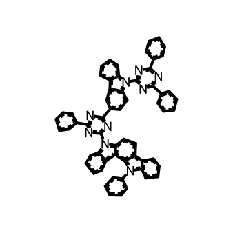 c1ccc(-c2nc(-c3ccccc3)nc(-n3c4ccccc4c4cc(-c5nc(-c6ccccc6)nc(-n6c7ccccc7c7c6ccc6c8ccccc8n(-c8ccccc8)c67)n5)ccc43)n2)cc1